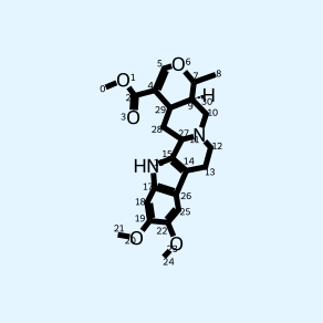 COC(=O)C1=COC(C)[C@H]2CN3CCc4c([nH]c5cc(OC)c(OC)cc45)C3CC12